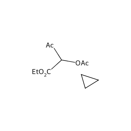 C1CC1.CCOC(=O)C(OC(C)=O)C(C)=O